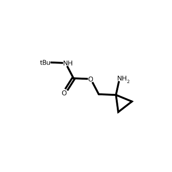 CC(C)(C)NC(=O)OCC1(N)CC1